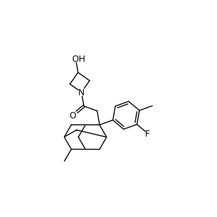 Cc1ccc(C2(CC(=O)N3CC(O)C3)C3CC4CC2CC(C3)C4C)cc1F